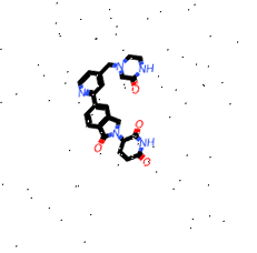 O=C1CN(Cc2ccnc(-c3ccc4c(c3)CN(C3CCC(=O)NC3=O)C4=O)c2)CCN1